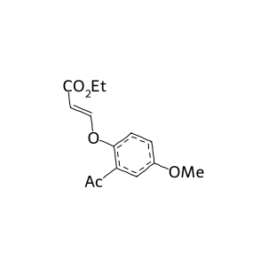 CCOC(=O)C=COc1ccc(OC)cc1C(C)=O